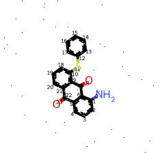 Nc1cccc2c1C(=O)c1c(Sc3ccccc3)cccc1C2=O